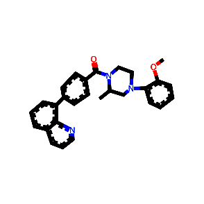 COc1ccccc1N1CCN(C(=O)c2ccc(-c3cccc4cccnc34)cc2)C(C)C1